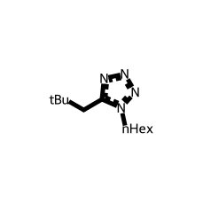 CCCCCCn1nnnc1CC(C)(C)C